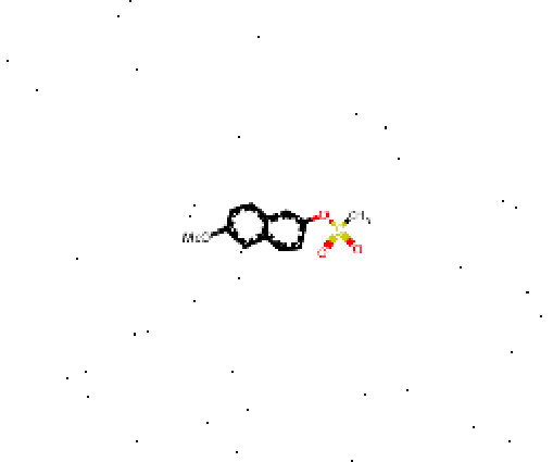 COc1ccc2cc(OS(C)(=O)=O)ccc2c1